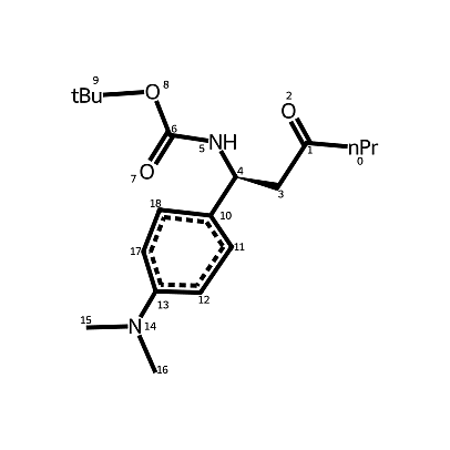 CCCC(=O)C[C@H](NC(=O)OC(C)(C)C)c1ccc(N(C)C)cc1